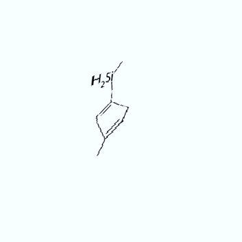 C[SiH2]C1=CC(C)=CC1